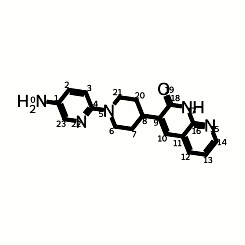 Nc1ccc(N2CCC(c3cc4cccnc4[nH]c3=O)CC2)nc1